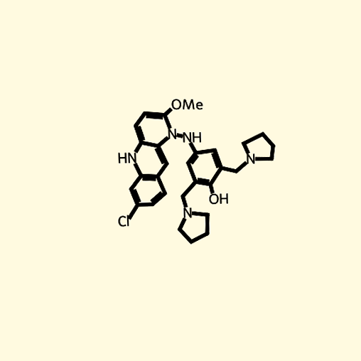 COC1=CC=C2Nc3cc(Cl)ccc3C=C2N1Nc1cc(CN2CCCC2)c(O)c(CN2CCCC2)c1